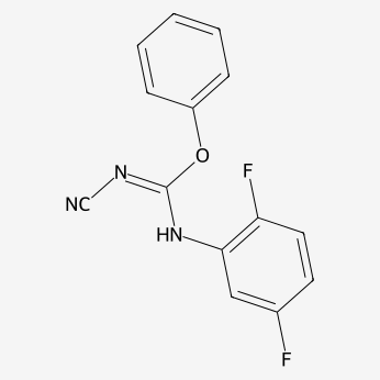 N#C/N=C(\Nc1cc(F)ccc1F)Oc1ccccc1